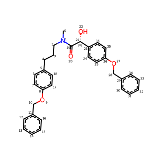 CN(CCCc1ccc(OCc2ccccc2)cc1)C(=O)[C@H](O)c1ccc(OCc2ccccc2)cc1